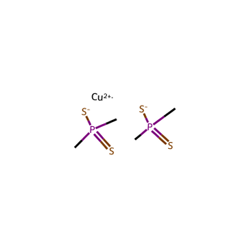 CP(C)(=S)[S-].CP(C)(=S)[S-].[Cu+2]